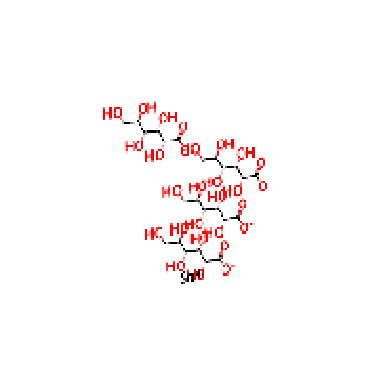 O=C([O-])[C@H](O)[C@@H](O)[C@H](O)[C@H](O)CO.O=C([O-])[C@H](O)[C@@H](O)[C@H](O)[C@H](O)CO.O=C([O-])[C@H](O)[C@@H](O)[C@H](O)[C@H](O)CO.O=C([O-])[C@H](O)[C@@H](O)[C@H](O)[C@H](O)CO.[Sn+4]